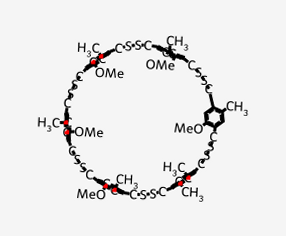 COc1cc2c(C)cc1CSSCc1cc(OC)c(cc1C)CSSCc1cc(C)c(cc1C)CSSCc1cc(OC)c(cc1C)CSSCc1cc(C)c(cc1OC)CSSCc1cc(C)c(cc1OC)CSSC2